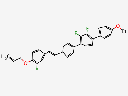 C=CCOc1ccc(/C=C/c2ccc(-c3ccc(-c4ccc(OCC)cc4)c(F)c3F)cc2)cc1F